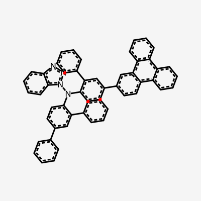 c1ccc(-c2ccc(N(c3ccc(-c4ccc5c6ccccc6c6ccccc6c5c4)cc3-c3ccccc3)n3nnc4ccccc43)c(-c3ccccc3)c2)cc1